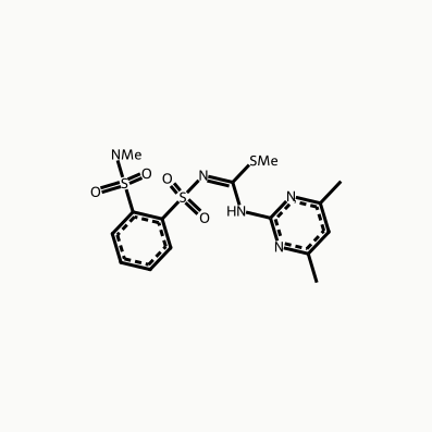 CNS(=O)(=O)c1ccccc1S(=O)(=O)N=C(Nc1nc(C)cc(C)n1)SC